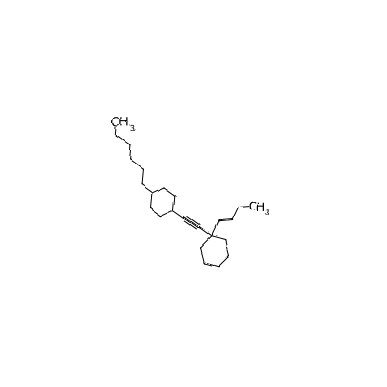 CCCCCCC1CCC(C#CC2(CCCC)CCCCC2)CC1